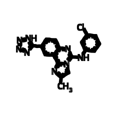 Cc1cn2c(Nc3cccc(Cl)c3)nc3ccc(-c4nnn[nH]4)cc3c2n1